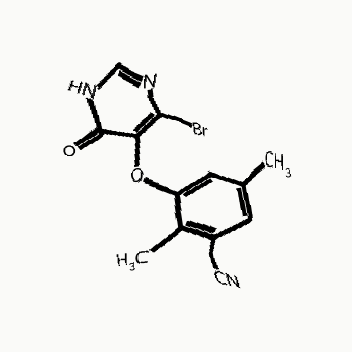 Cc1cc(C#N)c(C)c(Oc2c(Br)nc[nH]c2=O)c1